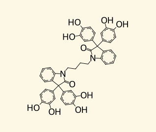 O=C1N(CCCCN2C(=O)C(c3ccc(O)c(O)c3)(c3ccc(O)c(O)c3)c3ccccc32)c2ccccc2C1(c1ccc(O)c(O)c1)c1ccc(O)c(O)c1